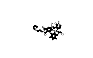 Cc1c(C)c(C)c(C[C@H](CO)Nc2cc[nH]c(=O)c2-c2nc3cc4c(cc3[nH]2)C(=O)N(CCCN2CCCC2)C4=O)c(C)c1C